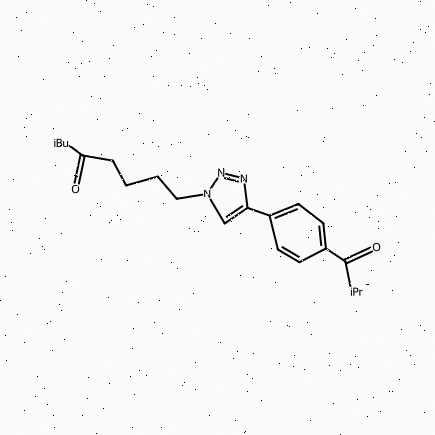 CCC(C)C(=O)CCCCn1cc(-c2ccc(C(=O)C(C)C)cc2)nn1